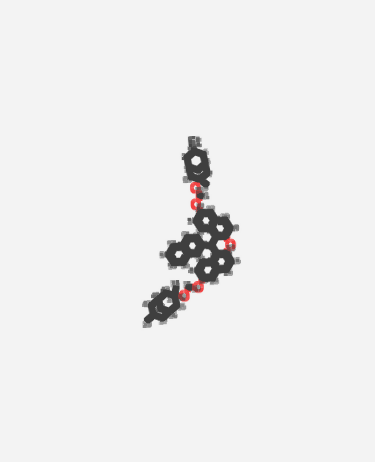 CCC1CC2CC(C1)CC(C)(OCOc1ccc3c4c(ccc3c1)Oc1ccc3cc(OCOC5(C)CC6CC(C)CC(C6)C5)ccc3c1C4c1ccc3ccccc3c1)C2